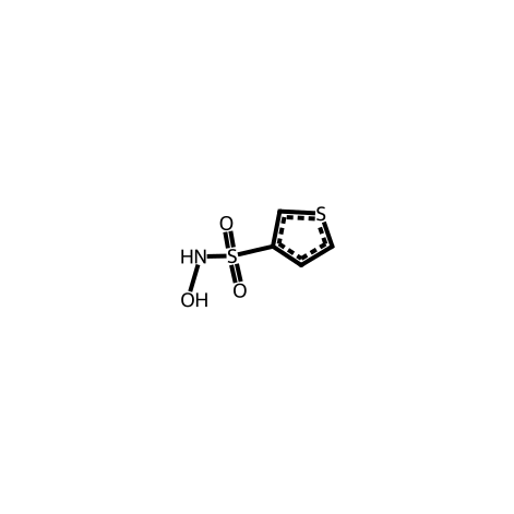 O=S(=O)(NO)c1ccsc1